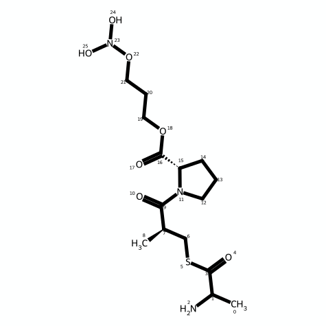 CC(N)C(=O)SC[C@@H](C)C(=O)N1CCC[C@H]1C(=O)OCCCON(O)O